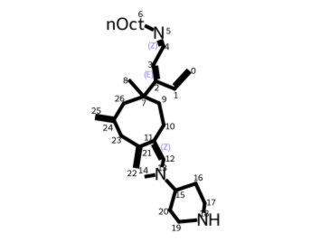 C=C/C(=C\C=N/CCCCCCCC)C1(C)CC/C(=C/N(C)C2CCNCC2)C(=C)CC(=C)C1